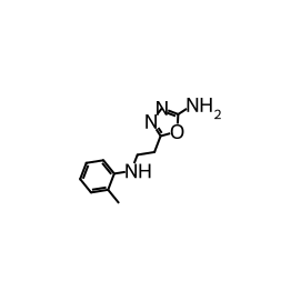 Cc1ccccc1NCCc1nnc(N)o1